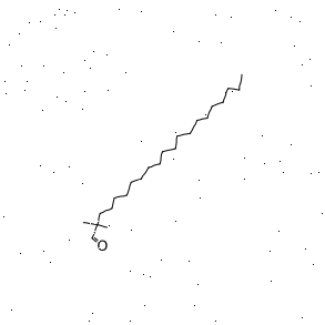 CCCCCCCCCCCCCCCCCCCC(C)(C)C=O